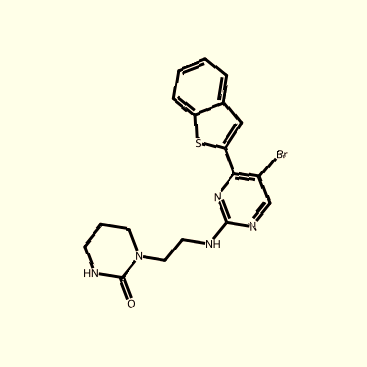 O=C1NCCCN1CCNc1ncc(Br)c(-c2cc3ccccc3s2)n1